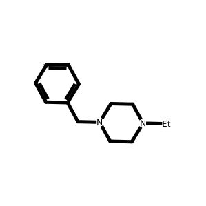 CCN1CCN(Cc2cc[c]cc2)CC1